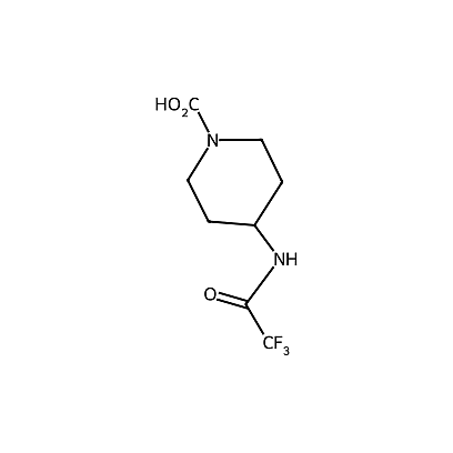 O=C(O)N1CCC(NC(=O)C(F)(F)F)CC1